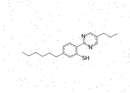 CCCCCCc1ccc(-c2ncc(CCC)cn2)c(S)c1